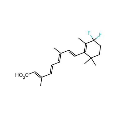 CC(C=CC1=C(C)C(F)(F)CCC1(C)C)=CC=CC(C)=CC(=O)O